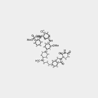 COc1cc(N2CCC(N(C)CCCc3ccc4c(c3)CN(C3CCC(=O)NC3=O)C4=O)CC2)ccc1Nc1ncc(Cl)c(Nc2ccccc2P(=O)(OC)OC)n1